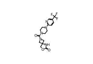 O=C1NC2(CO1)CN(C(=O)N1CCN(c3ccc(C(F)(F)F)cn3)CC1)C2